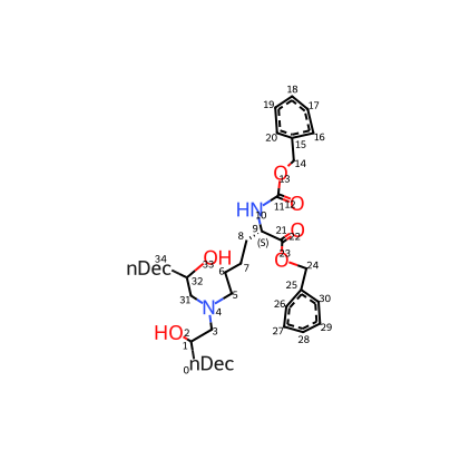 CCCCCCCCCCC(O)CN(CCCC[C@H](NC(=O)OCc1ccccc1)C(=O)OCc1ccccc1)CC(O)CCCCCCCCCC